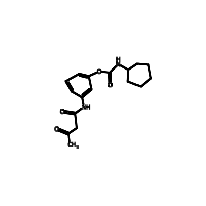 CC(=O)CC(=O)Nc1cccc(OC(=O)NC2CCCCC2)c1